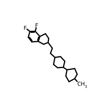 CC1CCC(C2CCC(CCC3CCc4c(ccc(F)c4F)C3)CC2)CC1